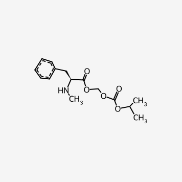 CN[C@@H](Cc1ccccc1)C(=O)OCOC(=O)OC(C)C